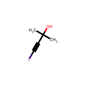 CC(C)(O)C#CI